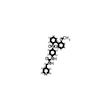 COc1ccccc1-c1ccccc1S(=O)(=O)c1ccc(NC(=O)NCc2ccncc2)cc1